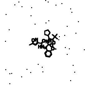 COc1ccccc1[C@H](NC(=O)c1cc(C)on1)C(=O)N[C@H](C(=O)C(C)(C)C)C1CCCC1